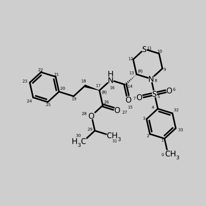 Cc1ccc(S(=O)(=O)N2CCSC[C@H]2C(=O)N[C@H](CCc2ccccc2)C(=O)OC(C)C)cc1